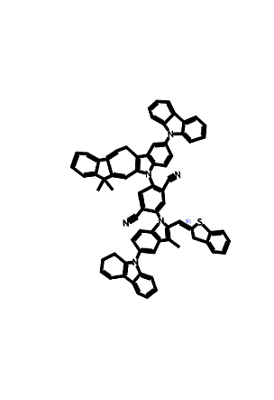 Cc1c(/C=C2\Cc3ccccc3S2)n(-c2cc(C#N)c(-n3c4c(c5cc(-n6c7ccccc7c7ccccc76)ccc53)CC=C3C(=C4)C(C)(C)c4ccccc43)cc2C#N)c2ccc(-n3c4c(c5ccccc53)C=CCC4)cc12